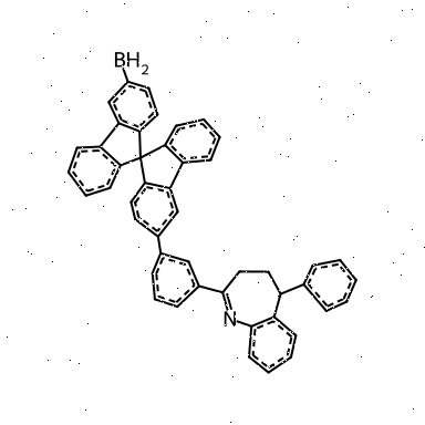 Bc1ccc2c(c1)-c1ccccc1C21c2ccccc2-c2cc(-c3cccc(C4=Nc5ccccc5C(c5ccccc5)CC4)c3)ccc21